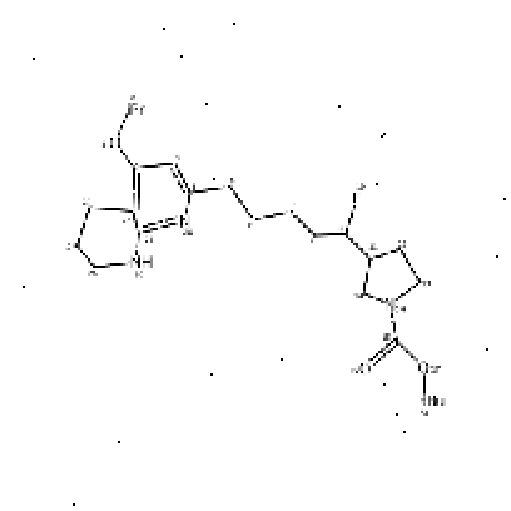 CC(C)Oc1cc(CCCCC(F)C2CCN(C(=O)OC(C)(C)C)C2)nc2c1CCCN2